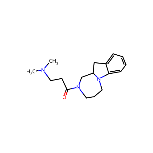 CN(C)CCC(=O)N1CCCN2c3ccccc3CC2C1